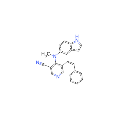 CN(c1ccc2[nH]ccc2c1)c1c(C#N)cncc1C=Cc1ccccc1